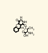 CC(C)[C@H](N)C(=O)O.O=c1[nH][nH]c(=O)c2cc3ccccc3cc12